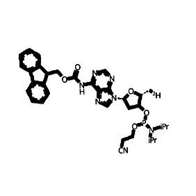 [2H]C[C@H]1O[C@@H](n2cnc3c(NC(=O)OCC4c5ccccc5-c5ccccc54)ncnc32)CC1OP(OCCC#N)N(C(C)C)C(C)C